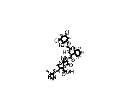 Cn1nnnc1SCC1=C(C(=O)O)N2C(=O)C(NC(=O)[C@@H](NC(=O)COc3cc(Cl)cc(Cl)c3O)c3ccccc3)[C@@H]2SC1